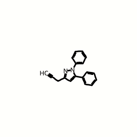 C#CCc1cc(-c2ccccc2)n(-c2ccccc2)n1